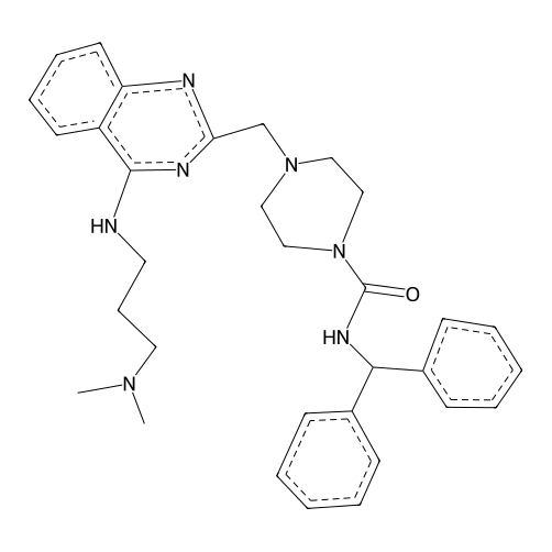 CN(C)CCCNc1nc(CN2CCN(C(=O)NC(c3ccccc3)c3ccccc3)CC2)nc2ccccc12